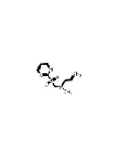 C=CC[C@H](C)CS(=O)(=O)c1ncccn1